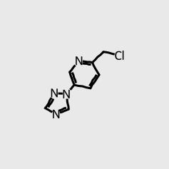 ClCc1ccc(-n2cncn2)cn1